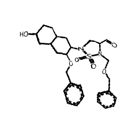 O=CC1CN(C2CC3CCC(O)CC3CC2OCc2ccccc2)S(=O)(=O)N1COCc1ccccc1